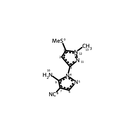 CSc1cc(-n2ncc(C#N)c2N)nn1C